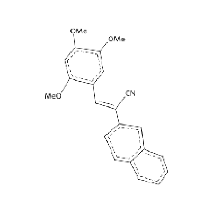 COc1cc(OC)c(OC)cc1C=C(C#N)c1ccc2ccccc2c1